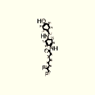 O=C(CCCCCC(F)CF)Nc1ccc(NCc2ccc(O)cc2)cc1